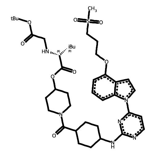 CC[C@@H](C)[C@@H](NCC(=O)OC(C)(C)C)C(=O)OC1CCN(C(=O)C2CCC(Nc3nccc(-n4ccc5c(OCCCS(C)(=O)=O)cccc54)n3)CC2)CC1